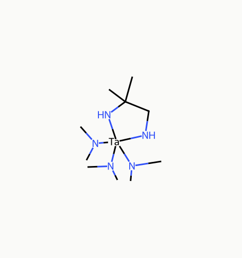 C[N](C)[Ta]1([N](C)C)([N](C)C)[NH]CC(C)(C)[NH]1